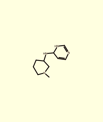 CN1CCCC(NC2C=CN=[C]N2)C1